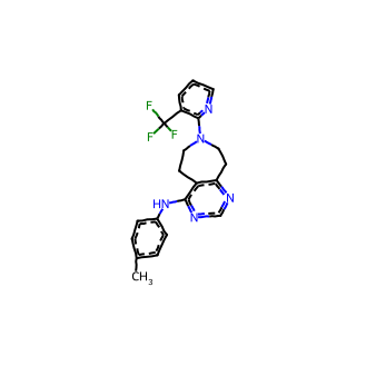 Cc1ccc(Nc2ncnc3c2CCN(c2ncccc2C(F)(F)F)CC3)cc1